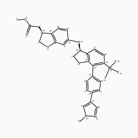 COC(=O)C[C@@H]1COc2cc(O[C@@H]3CCc4c3ccc(C(F)(F)F)c4-c3ccc(-c4cnn(C)c4)cc3)ccc21